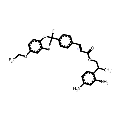 [CH2]C(COC(=O)/C=C/c1ccc(C(F)(F)Oc2ccc(OCC(F)(F)F)cc2F)cc1)c1ccc(N)cc1N